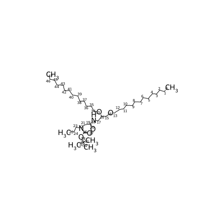 CCCCCCCCCCCCCCOCC(CNC(=O)CN(CCC)C(=O)OC(C)(C)C)OCCCCCCCCCCCCCC